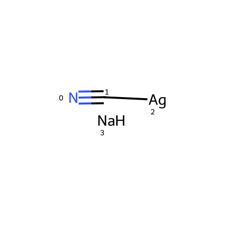 N#[C][Ag].[NaH]